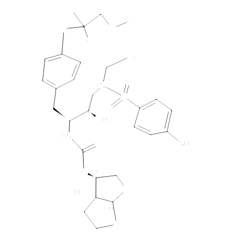 CC(C)CN(C[C@@H](O)[C@H](Cc1ccc(OC(C)(C)COC(C)(C)C)cc1)NC(=O)O[C@H]1CO[C@H]2OCC[C@H]21)S(=O)(=O)c1ccc(N)cc1